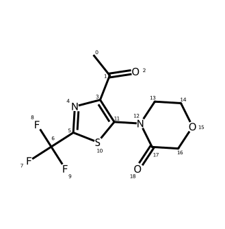 CC(=O)c1nc(C(F)(F)F)sc1N1CCOCC1=O